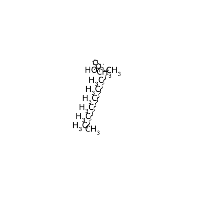 CC(C)=CCC/C(C)=C/CC/C(C)=C/CC/C(C)=C/CC/C(C)=C/CC/C(C)=C/CC/C(C)=C/Cc1[c]c2ccccc2c(O)c1C